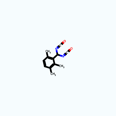 Cc1ccc(C)c(C(N=C=O)N=C=O)c1C